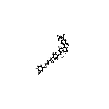 Cc1nc2cc(-c3cccn4c(C(=O)c5cc(F)c(NC(=O)/C=C/CN[C@@H]6CCC[C@@H](F)C6)c(F)c5)ccc34)c(C(F)(F)F)cc2n1C